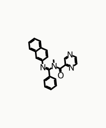 CN(C(=O)c1cnccn1)/C(=N\c1ccc2ccccc2c1)c1ccccc1